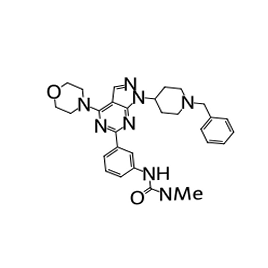 CNC(=O)Nc1cccc(-c2nc(N3CCOCC3)c3cnn(C4CCN(Cc5ccccc5)CC4)c3n2)c1